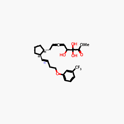 COC(=O)C(O)(O)C(O)C=C=CC[C@H]1CCC[C@@H]1/C=C/CCOc1cccc(C(F)(F)F)c1